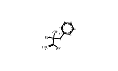 C=C(Br)C([SiH3])(CC)Cc1ccccc1